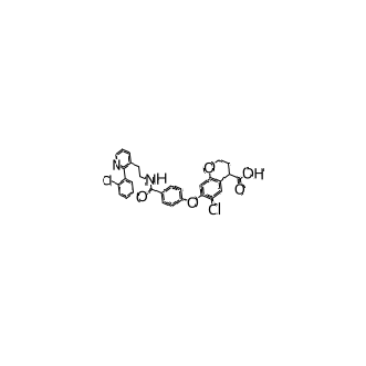 O=C(NCCc1cccnc1-c1ccccc1Cl)c1ccc(Oc2cc3c(cc2Cl)C(C(=O)O)CCO3)cc1